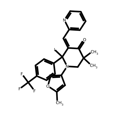 Cc1cc(N2CC(C)(C)C(=O)C(=Cc3ccccn3)C2(I)c2ccc(C(F)(F)F)cc2)no1